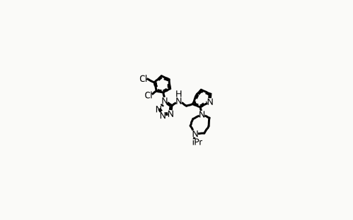 CC(C)N1CCCN(c2ncccc2CNc2nnnn2-c2cccc(Cl)c2Cl)CC1